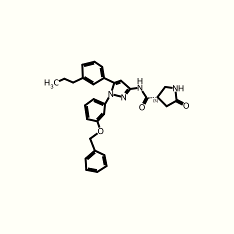 CCCc1cccc(-c2cc(NC(=O)[C@@H]3CNC(=O)C3)nn2-c2cccc(OCc3ccccc3)c2)c1